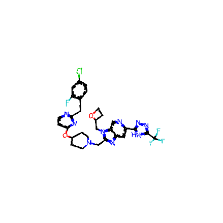 Fc1cc(Cl)ccc1Cc1nccc(OC2CCN(Cc3nc4cc(-c5nnc(C(F)(F)F)[nH]5)ncc4n3CC3CCO3)CC2)n1